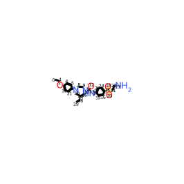 CCOc1ccc(N2CCN(C(=O)Nc3ccc(S(=O)(=O)CCN)cc3)C[C@@H](CC)C2)cc1